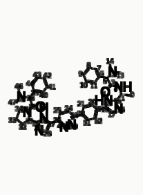 C[C@H](NC(=O)[C@H](c1ccccc1)N(C)C)c1ncc(-c2ccc(-c3ccc(-c4cnc(C5CCCN5C(=O)C(c5ccccc5)N(C)C)[nH]4)nn3)cc2)[nH]1